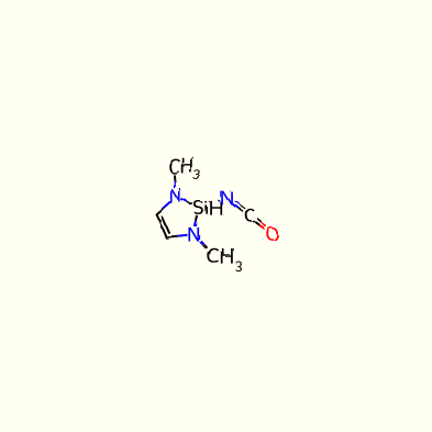 CN1C=CN(C)[SiH]1N=C=O